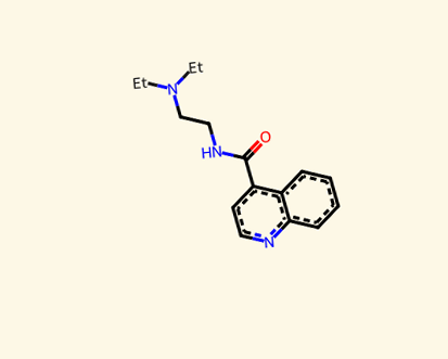 CCN(CC)CCNC(=O)c1ccnc2ccccc12